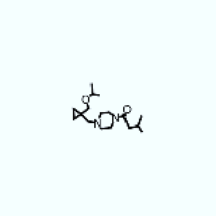 CC(C)CC(=O)N1CCN(CC2(COC(C)C)CC2)CC1